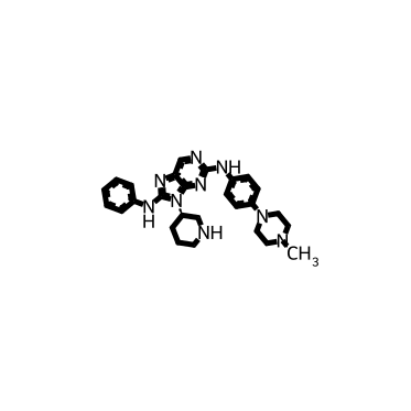 CN1CCN(c2ccc(Nc3ncc4nc(Nc5ccccc5)n([C@H]5CCCNC5)c4n3)cc2)CC1